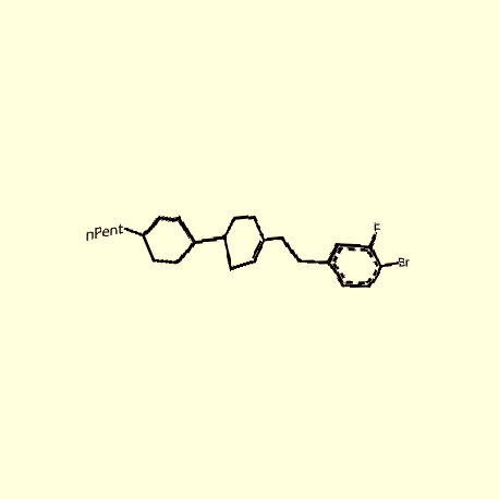 CCCCCC1CCC(C2CC=C(CCc3ccc(Br)c(F)c3)CC2)CC1